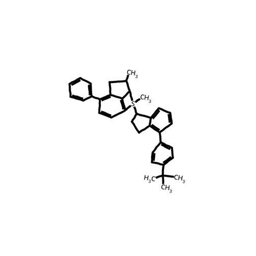 CC1Cc2c(-c3ccccc3)ccc3c2C1S3(C)C1CCc2c(-c3ccc(C(C)(C)C)cc3)cccc21